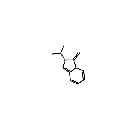 CC(C)n1nc2ccccn2c1=O